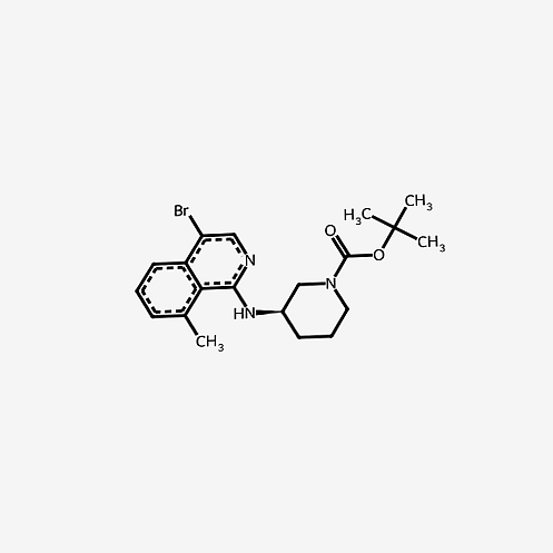 Cc1cccc2c(Br)cnc(N[C@@H]3CCCN(C(=O)OC(C)(C)C)C3)c12